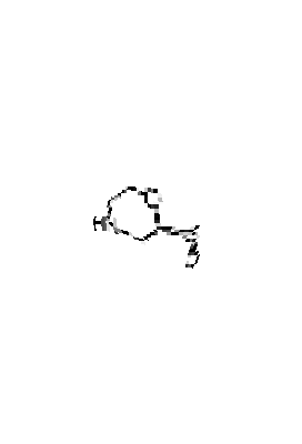 O=S=C1CNCCO1